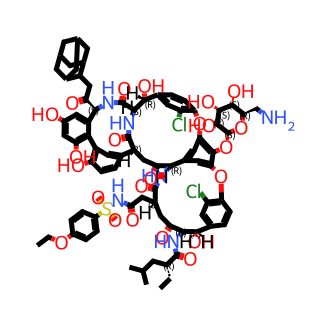 CCOc1ccc(S(=O)(=O)NC(=O)C[C@@H]2CC(=O)[C@H](NC(=O)[C@H](CC)CC(C)C)[C@H](O)c3ccc(c(Cl)c3)Oc3cc4cc(c3O[C@@H]3O[C@H](CN)[C@@H](O)[C@H](O)[C@H]3O)Oc3ccc(cc3Cl)[C@@H](O)[C@@H]3NC(=O)[C@H](CC(=O)[C@@H]4NC2=O)c2ccc(O)c(c2)-c2c(O)cc(O)cc2[C@@H](C(=O)CC2C4CC5CC(C4)CC2C5)NC3=O)cc1